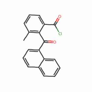 Cc1cccc(C(=O)Cl)c1C(=O)c1cccc2ccccc12